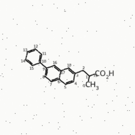 CC(Cc1ccc2ccc(-c3ccccc3)cc2c1)C(=O)O